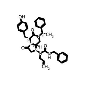 C=CCN(C(=O)NCc1ccccc1)N1CC(=O)N2[C@@H](Cc3ccc(O)cc3)C(=O)N([C@@H](C)c3ccccc3)C[C@@H]21